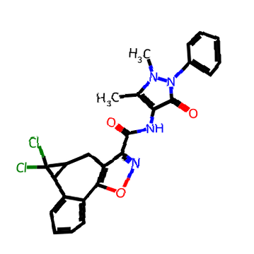 Cc1c(NC(=O)c2noc3c2CC2C(c4ccccc4-3)C2(Cl)Cl)c(=O)n(-c2ccccc2)n1C